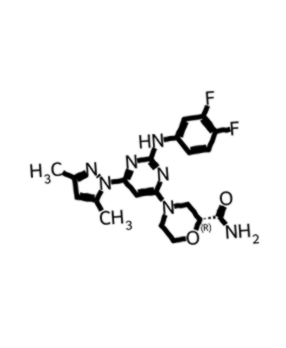 Cc1cc(C)n(-c2cc(N3CCO[C@@H](C(N)=O)C3)nc(Nc3ccc(F)c(F)c3)n2)n1